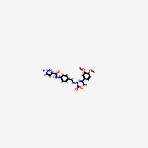 COc1ccc(C2=NN(CCc3ccc(NC(=O)c4cc[nH]n4)cc3)C(=O)OC2)cc1OC